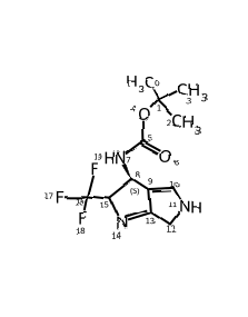 CC(C)(C)OC(=O)N[C@H]1C2=CNCC2=NC1C(F)(F)F